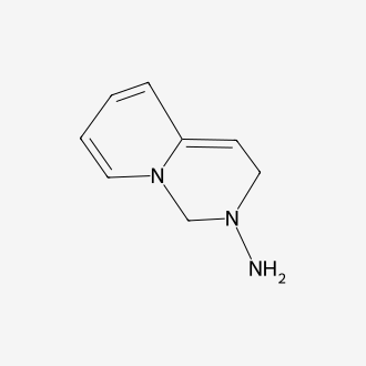 NN1CC=C2C=CC=CN2C1